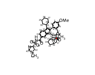 COc1ccc2c(c1)C1CC1(C(=O)N1C3CCC1CN(C)C3)Cn1c-2c(C2CCCCC2)c2ccc(C(=O)NS(=O)(=O)C3CN(C)C=N3)cc21